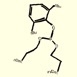 CCCCCCCCCCCCOP(OCCCCCCCCCCCC)Oc1c(C(C)(C)C)cccc1C(C)(C)C